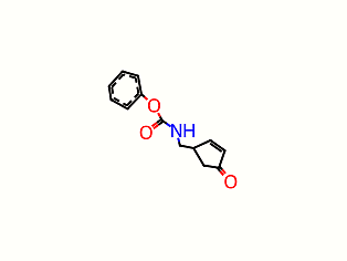 O=C1C=CC(CNC(=O)Oc2ccccc2)C1